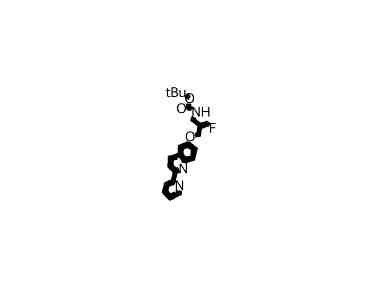 CC(C)(C)OC(=O)NC/C(=C/F)COc1ccc2nc(-c3ccccn3)ccc2c1